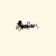 C=C/C=C(\C=C/N)CNC(=O)OC1CCc2c(sc(NC(=O)CC(C)c3ccccc3)c2N)C1